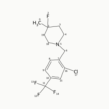 CC1(F)CCN(Cc2ccc(C(F)(F)F)cc2Cl)CC1